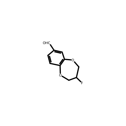 O=Cc1ccc2c(c1)OCC(F)CO2